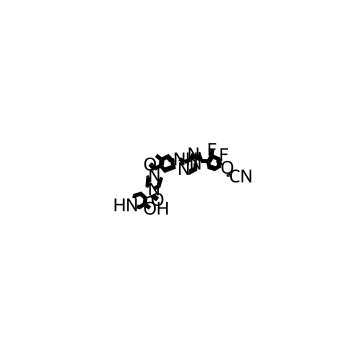 Cc1cc(Nc2nccn3c(-c4ccc(OCC#N)c(F)c4F)cnc23)ccc1C(=O)N1CCN(C(=O)[C@@H]2CCNCC2O)CC1